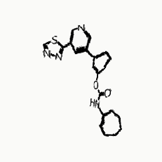 O=C(NC1CCCCCC1)Oc1cccc(-c2cncc(-c3nncs3)c2)c1